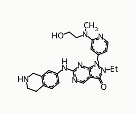 CCn1c(=O)c2cnc(Nc3ccc4c(c3)CNCC4)nc2n1-c1ccnc(N(C)CCO)c1